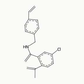 C=Cc1ccc(CNC(=C)c2cc(Cl)ccc2C(=C)C)cc1